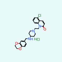 Cl.O=c1ccc2c(Cl)cccc2n1CCN1CCC(NCc2ccc3c(c2)OCCO3)CC1